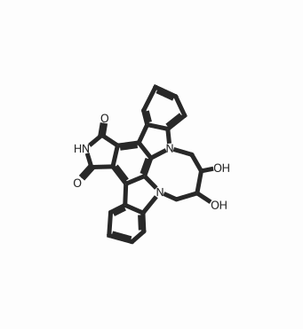 O=C1NC(=O)c2c1c1c3ccccc3n3c1c1c2c2ccccc2n1CC(O)C(O)C3